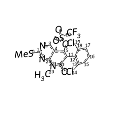 CSc1ncc2c(OS(=O)(=O)C(F)(F)F)c(-c3c(Cl)cccc3Cl)c(=O)n(C)c2n1